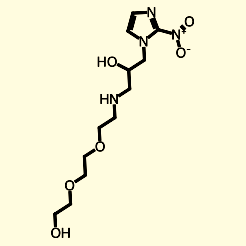 O=[N+]([O-])c1nccn1CC(O)CNCCOCCOCCO